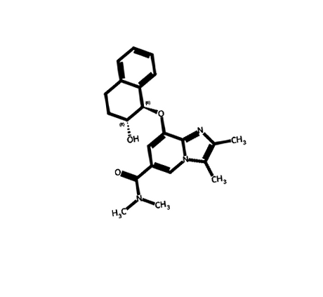 Cc1nc2c(O[C@@H]3c4ccccc4CC[C@H]3O)cc(C(=O)N(C)C)cn2c1C